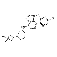 CC1(O)CC(N2CCCC(Nc3nnc(-c4ncc(C(F)(F)F)cc4O)c4ncccc34)C2)C1